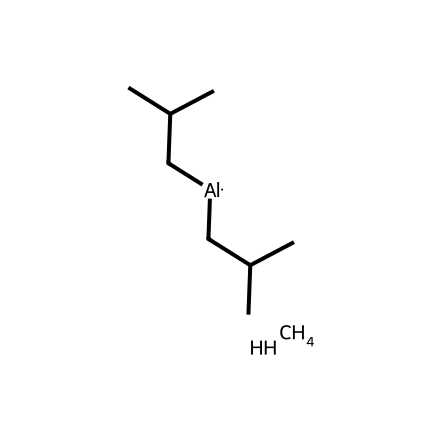 C.CC(C)[CH2][Al][CH2]C(C)C.[HH]